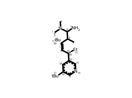 CC[C@@H](C)CN(C)C(N)C(C)/C=C\[C@@H](CC)c1cncc(C(C)(C)C)c1